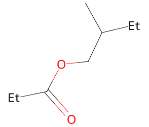 CCC(=O)OCC(C)CC